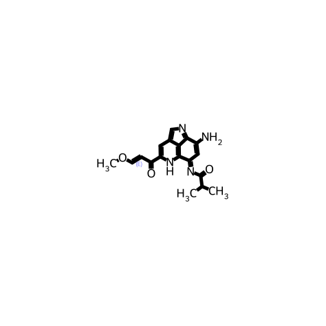 CO/C=C/C(=O)c1cc2cnc3c(N)cc(=NC(=O)C(C)C)c([nH]1)c23